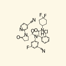 N#Cc1cc(F)cc(N(C(=O)[C@@H]2CCC(=O)N2c2cc(C#N)ccn2)C(C(=O)NC2CCC(F)(F)CC2)c2ccccc2Cl)c1